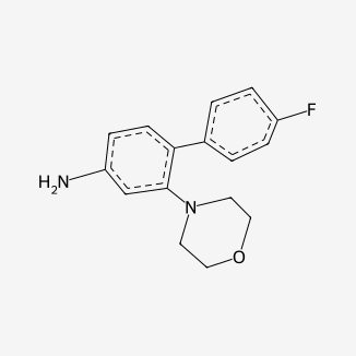 Nc1ccc(-c2ccc(F)cc2)c(N2CCOCC2)c1